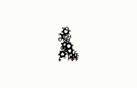 CC(C(=O)N[C@@H]1CC[C@@]2(S(=O)(=O)c3ccc(F)cc3)c3ccc(C(F)(C(F)(F)F)C(F)(F)F)cc3CC[C@@H]12)C1(O)CCOCC1